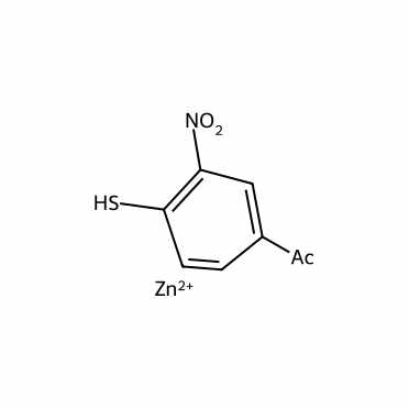 CC(=O)c1ccc(S)c([N+](=O)[O-])c1.[Zn+2]